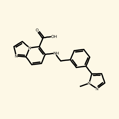 Cn1nccc1-c1cccc(CNc2ccc3nccn3c2C(=O)O)c1